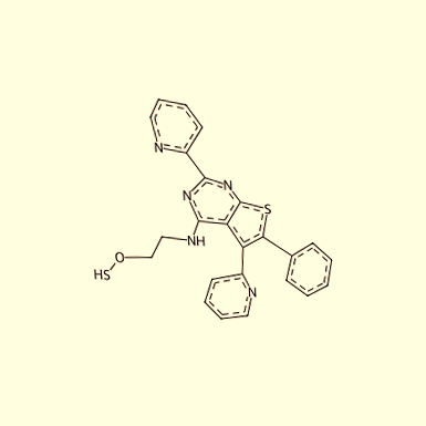 SOCCNc1nc(-c2ccccn2)nc2sc(-c3ccccc3)c(-c3ccccn3)c12